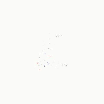 CNCC1(c2ccc(N3CCc4c(S(C)(=O)=O)nn(-c5ccc(OC)cc5)c4C3=O)cc2)CC1